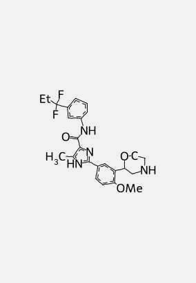 CCC(F)(F)c1cccc(NC(=O)c2nc(-c3ccc(OC)c(C4CNCCO4)c3)[nH]c2C)c1